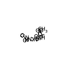 CS(=O)(=O)c1ccc(N[C@H]2CCN(C3CCN(c4noc(-c5ccccc5)n4)CC3)C2=O)c(F)c1